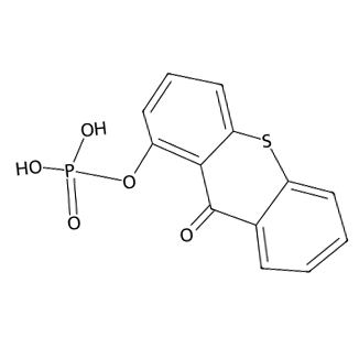 O=c1c2ccccc2sc2cccc(OP(=O)(O)O)c12